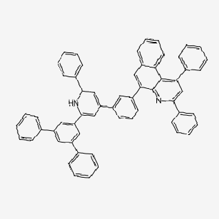 C1=C(c2cccc(-c3cc4ccccc4c4c(-c5ccccc5)cc(-c5ccccc5)nc34)c2)C=C(c2cc(-c3ccccc3)cc(-c3ccccc3)c2)NC1c1ccccc1